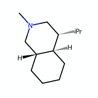 CC(C)[C@H]1CN(C)C[C@H]2CCCC[C@@H]21